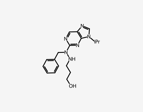 CC(C)n1cnc2cnc(N(Cc3ccccc3)NCCCO)nc21